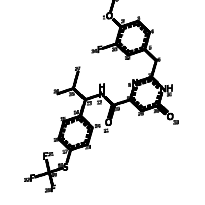 COc1ccc(Cc2nc(C(=O)NC(c3ccc(SC(F)(F)F)cc3)C(C)C)cc(=O)[nH]2)cc1F